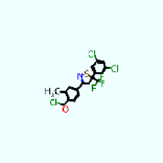 Cc1cc(C2=NSC(c3cc(Cl)cc(Cl)c3)(C(F)(F)F)C2)ccc1C(=O)Cl